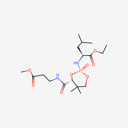 CCOC(=O)[C@H](CC(C)C)NP1(=O)OCC(C)(C)[C@H](C(=O)NCCC(=O)OC)O1